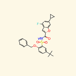 CC(C)(C)c1ccc(OCc2ccccc2)c(S(=O)(=O)NC(=O)c2cc3c(F)cc(C4CC4)cc3o2)c1